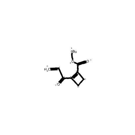 C=CC(=O)C1=C(C(=O)OCCCC)CC1